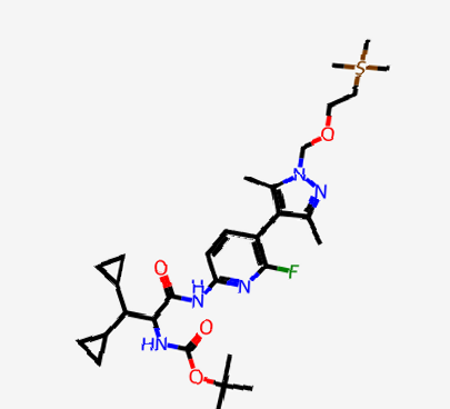 Cc1nn(COCCS(C)(C)C)c(C)c1-c1ccc(NC(=O)C(NC(=O)OC(C)(C)C)C(C2CC2)C2CC2)nc1F